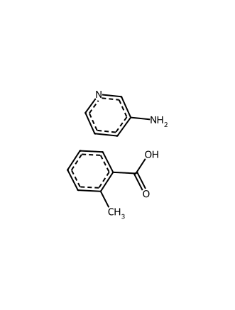 Cc1ccccc1C(=O)O.Nc1cccnc1